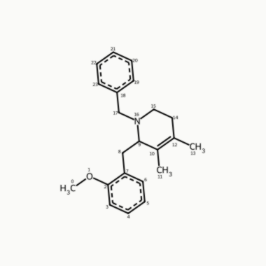 COc1ccccc1CC1C(C)=C(C)CCN1Cc1ccccc1